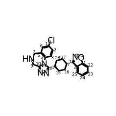 Clc1ccc2c(c1)CNCc1nnc([C@H]3CC[C@@H](c4noc5ccccc54)CC3)n1-2